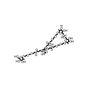 CCCC(=O)NC(COCCC(=O)NCCOCCOCCOC1OC(CO)C(O)C(O)C1C)(COCCC(=O)NCCOCCOCCOC1OC(CO)C(O)C(O)C1C)COCCC(=O)NCCOCCOCCOC1OC(CO)C(O)C(O)C1C